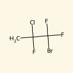 [CH2]C(F)(Cl)C(F)(F)Br